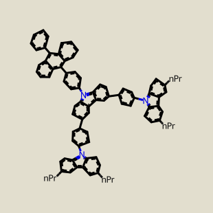 CCCc1ccc2c(c1)c1cc(CCC)ccc1n2-c1ccc(-c2ccc3c(c2)c2cc(-c4ccc(-n5c6ccc(CCC)cc6c6cc(CCC)ccc65)cc4)ccc2n3-c2ccc(-c3c4ccccc4c(-c4ccccc4)c4ccccc34)cc2)cc1